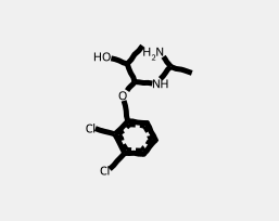 CC(N)NC(Oc1cccc(Cl)c1Cl)C(C)O